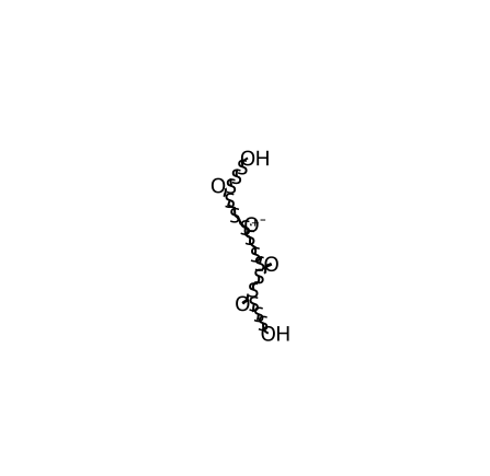 O=C(CSCCSCC(=O)SCSCSCO)SCSCCSC[S+]([O-])CCSCCSCC(=O)SCSCSCO